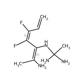 C=C/C(F)=C(F)\C(NC(C)(N)N)=C(/C)N